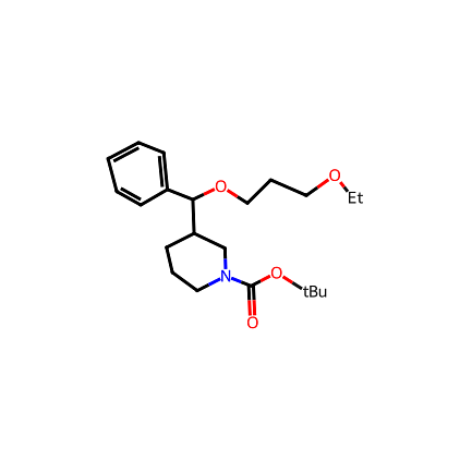 CCOCCCOC(c1ccccc1)C1CCCN(C(=O)OC(C)(C)C)C1